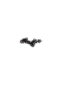 Cc1ccc(-c2cc(F)c(C(=O)N3CC[C@@H](C(=O)N4CCC(O)(Cn5cnc6c(ccn6-c6ccccc6)c5=O)CC4)[C@H](c4ccccc4)C3)s2)cn1